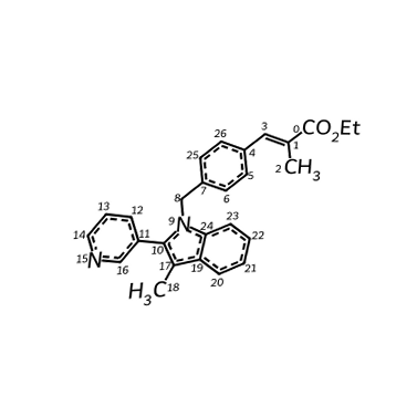 CCOC(=O)C(C)=Cc1ccc(Cn2c(-c3cccnc3)c(C)c3ccccc32)cc1